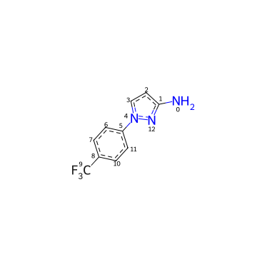 Nc1ccn(-c2ccc(C(F)(F)F)cc2)n1